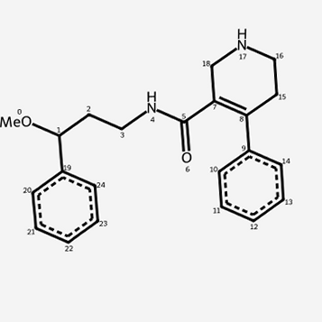 COC(CCNC(=O)C1=C(c2ccccc2)CCNC1)c1ccccc1